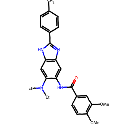 CCN(CC)c1cc2[nH]c(-c3ccc(C)cc3)nc2cc1NC(=O)c1ccc(OC)c(OC)c1